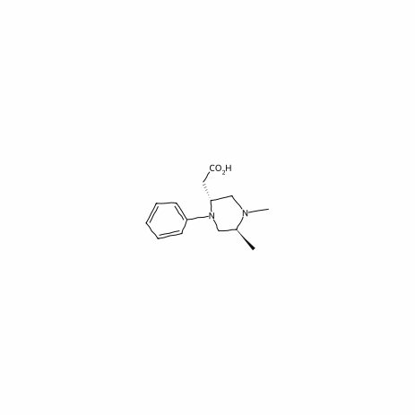 C[C@H]1CN(c2ccccc2)[C@H](CC(=O)O)CN1C